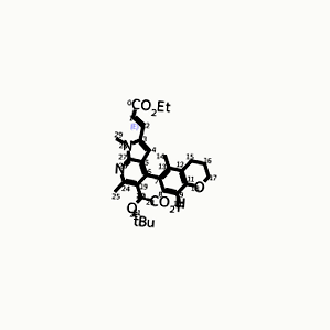 CCOC(=O)/C=C/c1cc2c(-c3cc(F)c4c(c3C)CCCO4)c([C@H](OC(C)(C)C)C(=O)O)c(C)nc2n1C